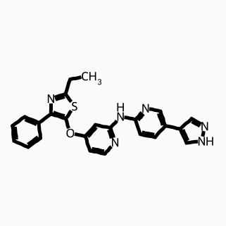 CCc1nc(-c2ccccc2)c(Oc2ccnc(Nc3ccc(-c4cn[nH]c4)cn3)c2)s1